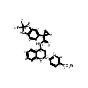 CCOC(=O)c1ccc([C@H]2C[C@H](NC(=O)C3(c4ccc5c(c4)OC(F)(F)O5)CC3)c3ccccc3O2)nc1